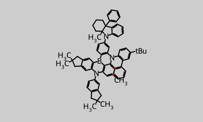 Cc1cc2c3c(c1)N(c1ccc(C(C)(C)C)cc1-c1ccccc1)c1cc(N4c5ccccc5C5(c6ccccc6)CCCCC45C)ccc1B3c1cc3c(cc1N2c1ccc2c(c1)CC(C)(C)C2)CC(C)(C)C3